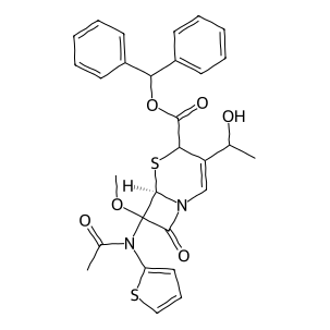 COC1(N(C(C)=O)c2cccs2)C(=O)N2C=C(C(C)O)C(C(=O)OC(c3ccccc3)c3ccccc3)S[C@@H]21